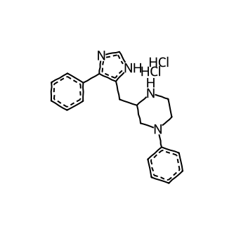 Cl.Cl.c1ccc(-c2nc[nH]c2CC2CN(c3ccccc3)CCN2)cc1